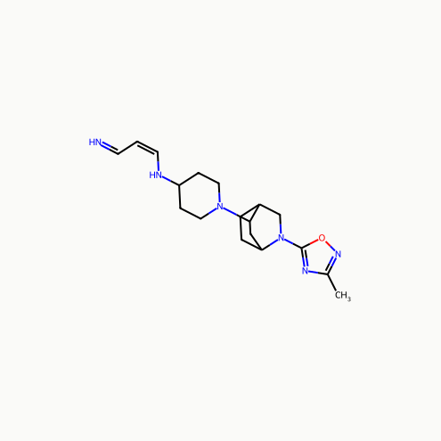 Cc1noc(N2CC3CCC2CC3N2CCC(N/C=C\C=N)CC2)n1